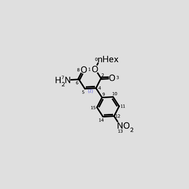 CCCCCCOC(=O)/C(=C\C(N)=O)c1ccc([N+](=O)[O-])cc1